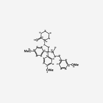 COc1ccc(C(CCN2CCCCC2=O)(c2ccc(OC)cc2)N(C)CCc2cccc(OC)c2)cc1